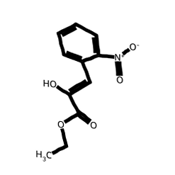 CCOC(=O)/C(O)=C/c1ccccc1[N+](=O)[O-]